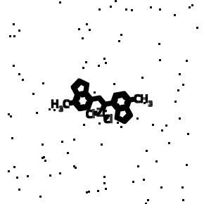 Cc1ccc(C[CH](c2ccc(C)c3c2CC=C3)[Zr]([Cl])[Cl])c2c1C=CC2